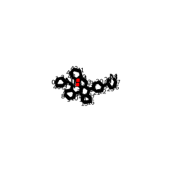 c1ccc(-n2c(-c3ccccc3-c3c4ccccc4c(-c4ccc(-c5cccnc5)cc4)c4ccccc34)nc3ccccc32)cc1